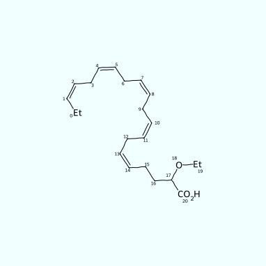 CC/C=C\C/C=C\C/C=C\C/C=C\C/C=C\CCC(OCC)C(=O)O